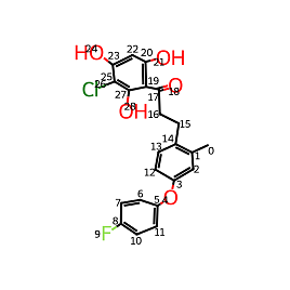 Cc1cc(Oc2ccc(F)cc2)ccc1CCC(=O)c1c(O)cc(O)c(Cl)c1O